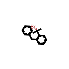 CC(C)(Br)c1ccccc1Cc1ccccc1